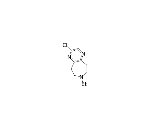 CCN1CCc2ncc(Cl)nc2CC1